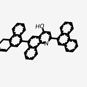 Oc1cc(-c2cc3ccccc3c3ccccc23)nc2c1cc(-c1cc3c(c4ccccc14)CCC=C3)c1ccccc12